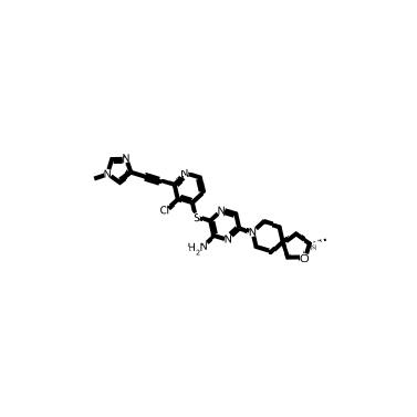 C[C@H]1CC2(CCN(c3cnc(Sc4ccnc(C#Cc5cn(C)cn5)c4Cl)c(N)n3)CC2)CO1